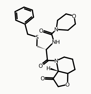 O=C1COC2CCCN(C(=O)[C@H](CSCc3ccccc3)NC(=O)N3CCOCC3)[C@@H]12